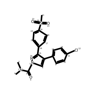 CN(C)C(=O)n1[c]c(-c2ccc(Cl)cc2)c(-c2ccc(S(C)(=O)=O)cc2)n1